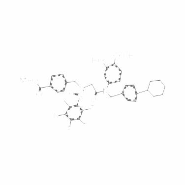 COC(=O)c1ccc(CN(CC(=O)N(Cc2ccc(C3CCCCC3)cc2)c2ccc(C(=O)O)c(O)c2)S(=O)(=O)c2c(F)c(F)c(F)c(F)c2F)cc1